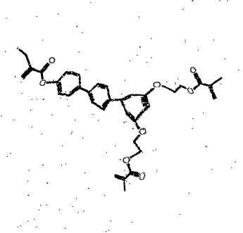 C=C(C)C(=O)OCCOc1cc(OCCOC(=O)C(=C)C)cc(-c2ccc(-c3ccc(OC(=O)C(=C)CC)cc3)cc2)c1